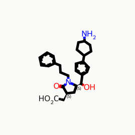 NC1CCC(c2ccc(C(O)[C@@H]3C[C@@H](CC(=O)O)C(=O)N3CCCc3ccccc3)cc2)CC1